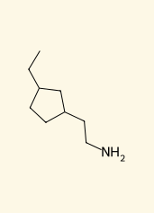 CCC1CCC(CCN)C1